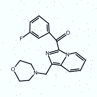 O=C(c1cccc(F)c1)c1nc(CN2CCOCC2)c2ccccn12